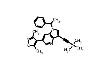 Cc1noc(C)c1-c1cnc2c(C#CS(C)(C)C)cn(C(C)c3ccccc3)c2c1